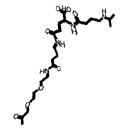 CC(=O)COCCOCCNC(=O)CCCNC(=O)CCC(NC(=O)CCCNC(C)C)C(=O)O